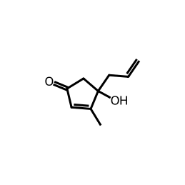 C=CCC1(O)CC(=O)C=C1C